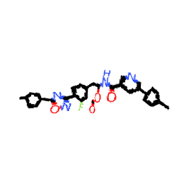 Cc1ccc(-c2cncc(C(=O)NC(Cc3ccc(-c4noc(-c5ccc(C)cc5)n4)c(F)c3)OC=O)c2)cc1